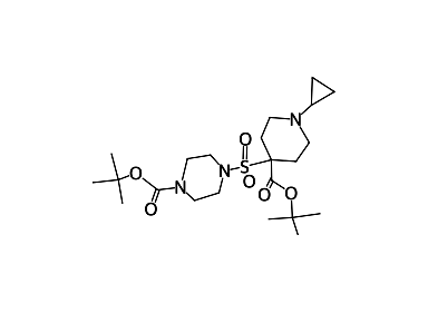 CC(C)(C)OC(=O)N1CCN(S(=O)(=O)C2(C(=O)OC(C)(C)C)CCN(C3CC3)CC2)CC1